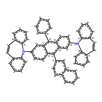 C1=Cc2ccccc2N(c2ccc3c(-c4ccc5ccccc5c4)c4cc(N5c6ccccc6C=Cc6ccccc65)ccc4c(-c4ccccc4)c3c2)c2ccccc21